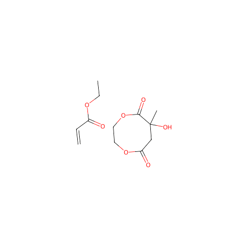 C=CC(=O)OCC.CC1(O)CC(=O)OCCOC1=O